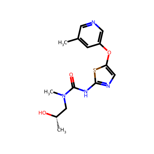 Cc1cncc(Oc2cnc(NC(=O)N(C)C[C@H](C)O)s2)c1